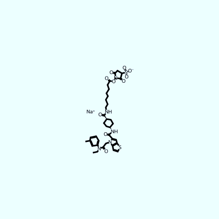 CCN(C(=O)Cn1c(C(=O)N[C@H]2CC[C@H](C(=O)NCCCCCCCC(=O)ON3C(=O)CC(S(=O)(=O)[O-])C3=O)CC2)cc2sccc21)c1cccc(C)c1.[Na+]